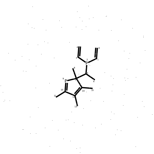 C=CP(C=C)C(C)C1(C)P=C(C)C(C)=C1C